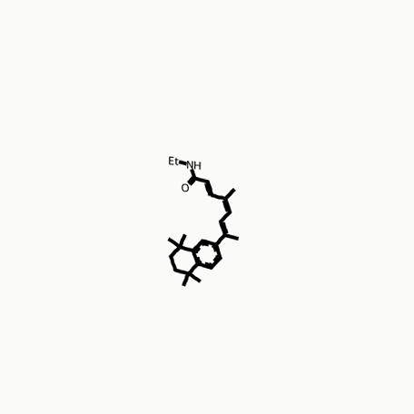 CCNC(=O)C=CC(C)=CC=C(C)c1ccc2c(c1)C(C)(C)CCC2(C)C